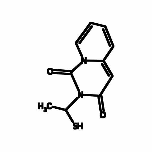 CC(S)n1c(=O)cc2ccccn2c1=O